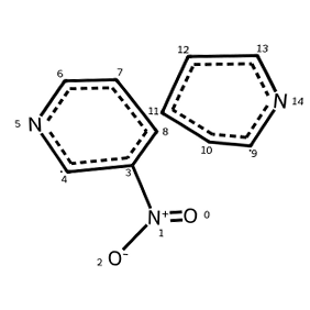 O=[N+]([O-])c1[c]nccc1.[c]1ccccn1